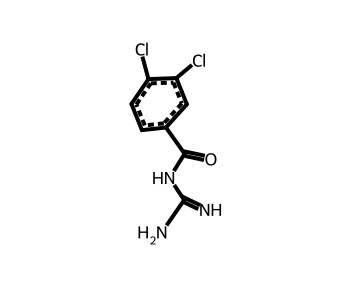 N=C(N)NC(=O)c1ccc(Cl)c(Cl)c1